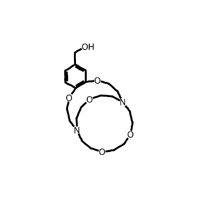 OCc1ccc2c(c1)OCCN1CCOCCOCCN(CCOCC1)CCO2